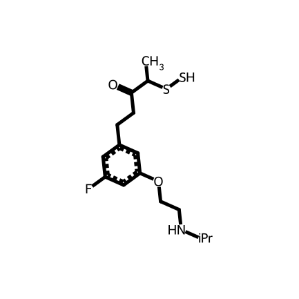 CC(C)NCCOc1cc(F)cc(CCC(=O)C(C)SS)c1